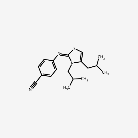 CC(C)Cc1csc(=Nc2ccc(C#N)cc2)n1CC(C)C